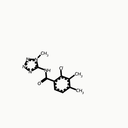 Cc1ccc(C(=O)Nc2nnnn2C)c(Cl)c1C